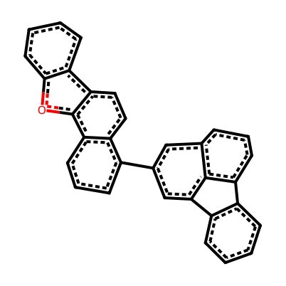 c1ccc2c(c1)-c1cccc3cc(-c4cccc5c4ccc4c6ccccc6oc54)cc-2c13